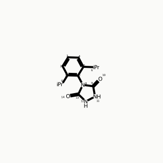 CC(C)c1cccc(C(C)C)c1-n1c(=O)[nH][nH]c1=O